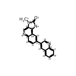 CN1C(=O)[N]c2c1cnc1ccc(-c3cnc4ccccc4c3)cc21